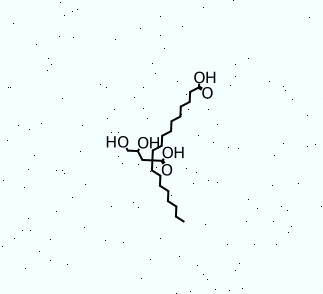 CCCCCCCCC(CCCCCCCCCC(=O)O)(CC(O)CO)C(=O)O